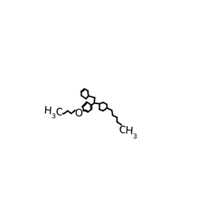 CCCCCCC1CCC(C(CC2CC=CCC2)c2ccc(OCCCCC)cc2)CC1